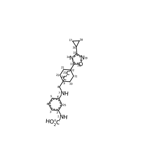 O=C(O)Nc1cccc(NCC23CCC(c4nc(C5CC5)no4)(CC2)CC3)c1